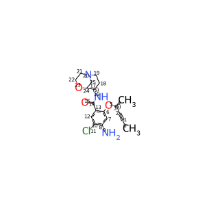 CC#C[C@H](C)Oc1cc(N)c(Cl)cc1C(=O)N[C@H]1CCN2CCOC1C2